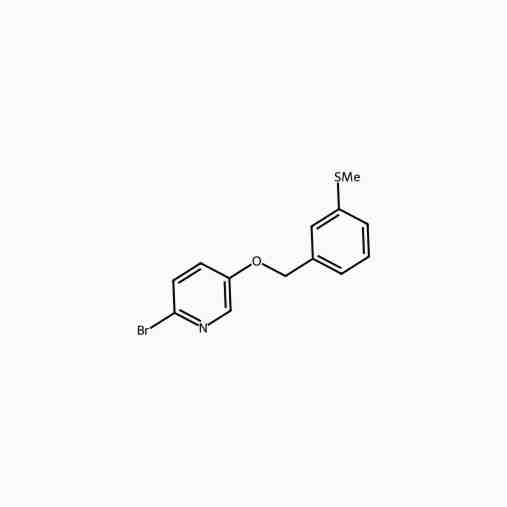 CSc1cccc(COc2ccc(Br)nc2)c1